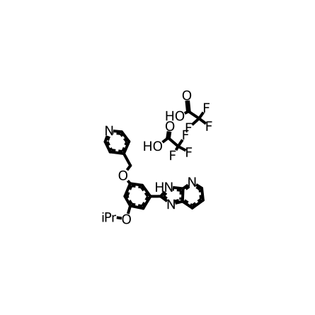 CC(C)Oc1cc(OCc2ccncc2)cc(-c2nc3cccnc3[nH]2)c1.O=C(O)C(F)(F)F.O=C(O)C(F)(F)F